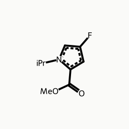 COC(=O)c1cc(F)cn1C(C)C